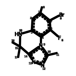 Cc1cc2c(c(F)c1Br)-n1c(C)nnc1C(C)(C)N2